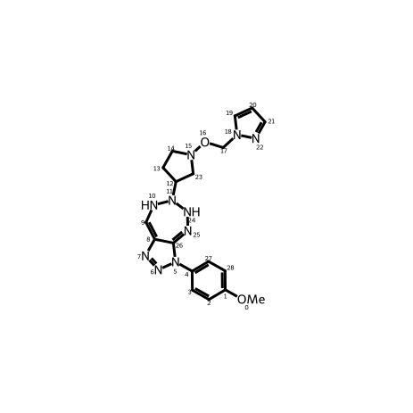 COc1ccc(-n2nnc3c[nH]n(C4CCN(OCn5cccn5)C4)[nH]nc32)cc1